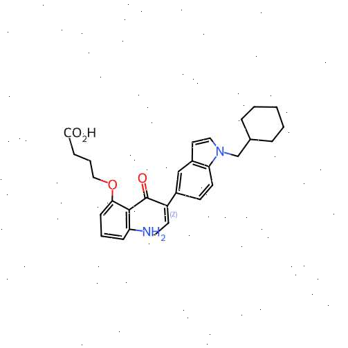 C/C=C(\C(=O)c1c(N)cccc1OCCCC(=O)O)c1ccc2c(ccn2CC2CCCCC2)c1